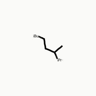 CCC(C)CCC(C)[C](C)C